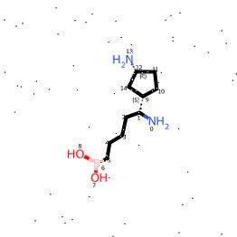 NC(CCCCB(O)O)[C@H]1CC[C@@H](N)C1